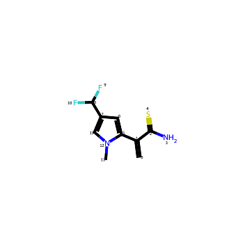 C=C(C(N)=S)c1cc(C(F)F)cn1C